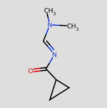 CN(C)C=NC(=O)C1CC1